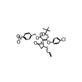 C=CCSC1CC(=O)N1C(C(=O)OCc1ccc([N+](=O)[O-])cc1)=C(Oc1ccc(Cl)cc1)SC(=O)C(C)(C)C